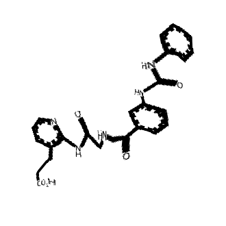 O=C(O)CCc1cccnc1NC(=O)CNC(=O)c1cccc(NC(=O)Nc2ccccc2)c1